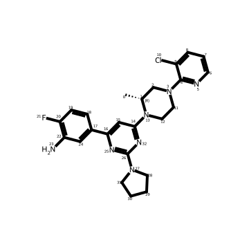 C[C@@H]1CN(c2ncccc2Cl)CCN1c1cc(-c2ccc(F)c(N)c2)nc(N2CCCC2)n1